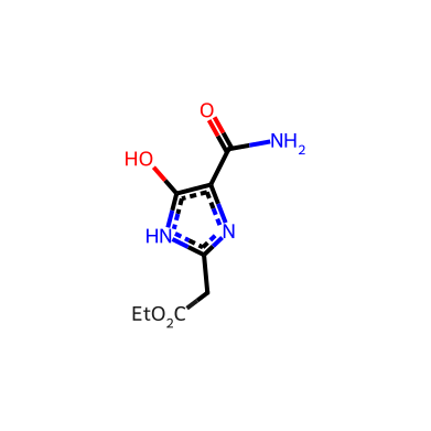 CCOC(=O)Cc1nc(C(N)=O)c(O)[nH]1